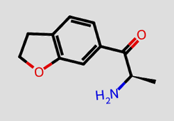 C[C@@H](N)C(=O)c1ccc2c(c1)OCC2